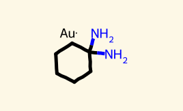 NC1(N)CCCCC1.[Au]